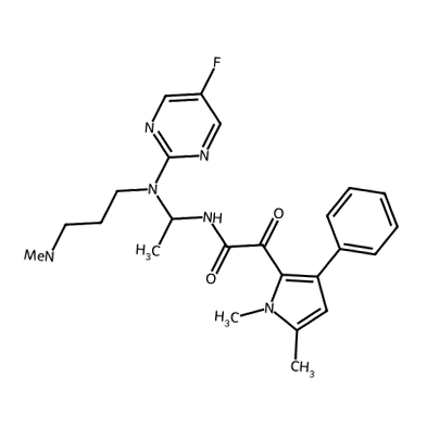 CNCCCN(c1ncc(F)cn1)C(C)NC(=O)C(=O)c1c(-c2ccccc2)cc(C)n1C